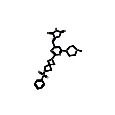 CN1CCN(c2cc(/C=C3\SC(=O)NC3=O)nc(N3CC4(C3)CN(S(=O)(=O)c3ccccc3)C4)n2)CC1